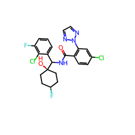 O=C(NC(c1cccc(F)c1Cl)[C@]1(O)CC[C@@H](F)CC1)c1ccc(Cl)cc1-n1nccn1